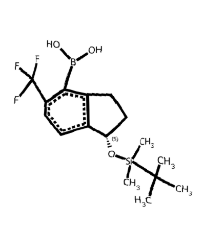 CC(C)(C)[Si](C)(C)O[C@H]1CCc2c1ccc(C(F)(F)F)c2B(O)O